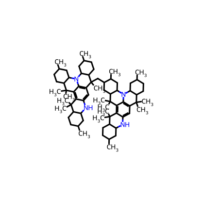 CC1CCC2C(C1)Nc1cc3c4c(c1C2(C)C)C(C)(C)C1CC(CC2(C)c5cc6c(c7c5N(C5CC(C)CCC5C7(C)C)C5CC(C)CCC52)C(C)(C)C2CCC(C)CC2N6)C(C)CC1N4C1CC(C)CCC1C3(C)C